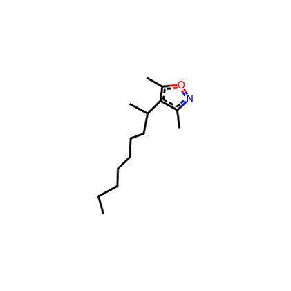 CCCCCCCC(C)c1c(C)noc1C